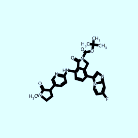 CN1CCC(c2ccc(Nc3ccc(-c4cnc5cc(F)ccn45)c4c3C(=O)N(C(=O)OC(C)(C)C)C4)nc2)C1=O